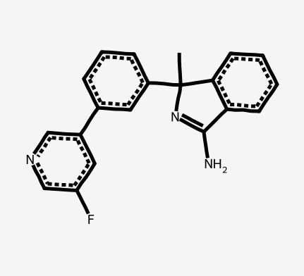 CC1(c2cccc(-c3cncc(F)c3)c2)N=C(N)c2ccccc21